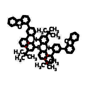 CC(C)(C)c1ccc2c(c1)B1c3ccc(C(C)(C)C)cc3N(c3ccc(-c4cccc5c4oc4ccccc45)cc3-c3ccccc3)c3cc(C(C)(C)C)cc(c31)N2c1ccc(-c2cccc3c2oc2ccccc23)cc1-c1ccccc1